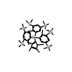 CC1=C(C)C(C)C([Si](c2cc([Si](C)(C)C)cc([Si](C)(C)C)c2C)(c2cc([Si](C)(C)C)cc([Si](C)(C)C)c2C)c2cc([Si](C)(C)C)cc([Si](C)(C)C)c2C)=C1C